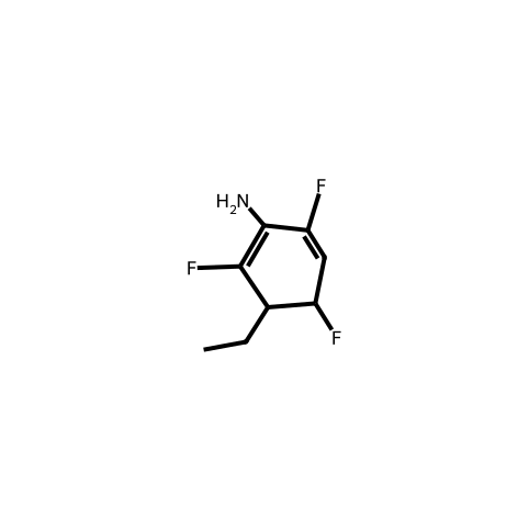 CCC1C(F)=C(N)C(F)=CC1F